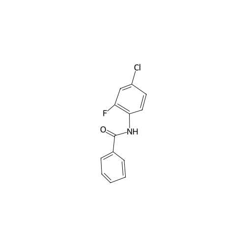 O=C(Nc1ccc(Cl)cc1F)c1ccccc1